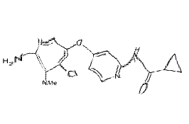 CNc1c(N)ncc(Oc2ccnc(NC(=O)C3CC3)c2)c1Cl